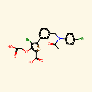 CC(=O)N(Cc1cccc(-c2sc(C(=O)O)c(OCC(=O)O)c2Br)c1)c1ccc(Br)cc1